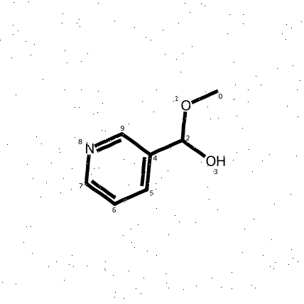 COC(O)c1cccnc1